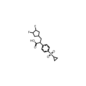 O=C(O)C(CC1CC(F)C(F)C1)c1ccc(S(=O)(=O)C2CC2)cc1